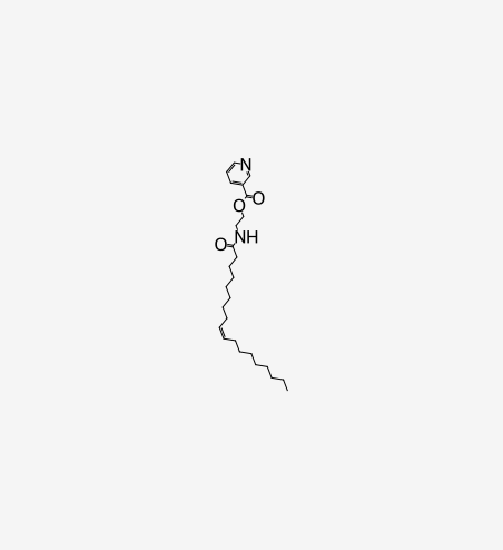 CCCCCCCC/C=C\CCCCCCCC(=O)NCCOC(=O)c1cccnc1